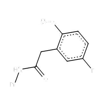 COc1ccc(F)cc1CC(=O)NC(C)C